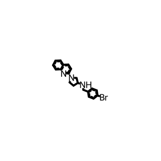 Brc1ccc(CNC2CCN(c3ccc4ccccc4n3)C2)cc1